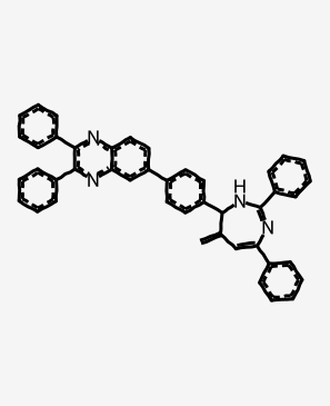 C=C1C=C(c2ccccc2)N=C(c2ccccc2)NC1c1ccc(-c2ccc3nc(-c4ccccc4)c(-c4ccccc4)nc3c2)cc1